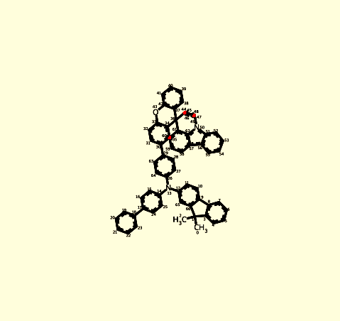 CC1(C)c2ccccc2-c2ccc(N(c3ccc(-c4ccccc4)cc3)c3ccc(-c4ccc5c(c4)C4(c6ccccc6O5)c5ccccc5-n5c6ccccc6c6cccc4c65)cc3)cc21